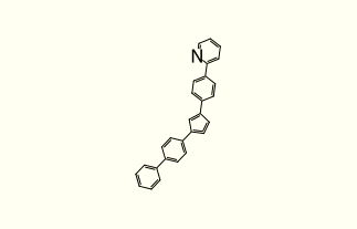 C1=CC(c2ccc(-c3ccccn3)cc2)=CC=1c1ccc(-c2ccccc2)cc1